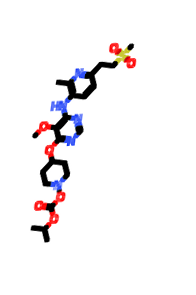 COc1c(Nc2ccc(CCS(C)(=O)=O)nc2C)ncnc1OC1CCN(OC(=O)OC(C)C)CC1